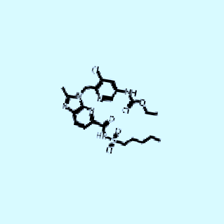 CCCCCS(=O)(=O)NC(=O)c1ccc2nc(C)n(Cc3ncc(NC(=O)OCC)cc3Cl)c2n1